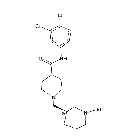 CCN1CCC[C@@H](CN2CCC(C(=O)Nc3ccc(Cl)c(Cl)c3)CC2)C1